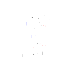 CC(C)(C)OC(=O)NC[C@]12CNC[C@H]1CCO2